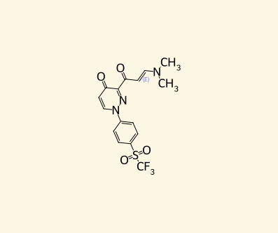 CN(C)/C=C/C(=O)c1nn(-c2ccc(S(=O)(=O)C(F)(F)F)cc2)ccc1=O